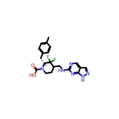 Cc1ccc(C[C@H]2N(C(=O)O)CCC(CNc3ncc4cn[nH]c4n3)C2(F)F)cc1